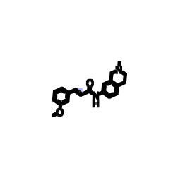 COc1cccc(/C=C/C(=O)Nc2ccc3c(c2)CN(C)CC3)c1